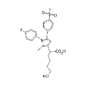 Cc1c(C(CCCCO)C(=O)O)cc(-c2ccc(S(C)(=O)=O)cc2)n1-c1ccc(F)cc1